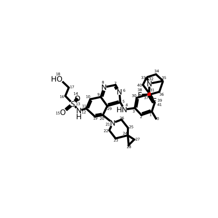 Cc1cc(Nc2ncnc3cc(NS(=O)(=O)CCO)cc(N4CCC5(CC4)CC5)c23)cc(N2C3CC2CC(F)(F)C3)c1